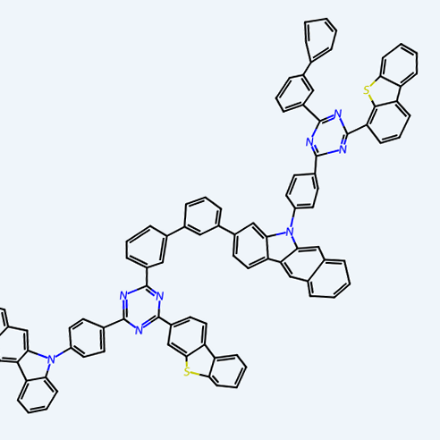 c1ccc(-c2cccc(-c3nc(-c4ccc(-n5c6cc(-c7cccc(-c8cccc(-c9nc(-c%10ccc(-n%11c%12ccccc%12c%12cc%13ccccc%13cc%12%11)cc%10)nc(-c%10ccc%11c(c%10)sc%10ccccc%10%11)n9)c8)c7)ccc6c6cc7ccccc7cc65)cc4)nc(-c4cccc5c4sc4ccccc45)n3)c2)cc1